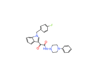 O=C(NN1CCN(c2ccccc2)CC1)C(=O)c1cn(Cc2ccc(F)cc2)c2ccccc12